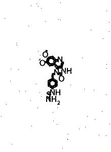 COc1cc2ncc3[nH]c(=O)n(Cc4ccc(NSN)cc4)c3c2cc1OC